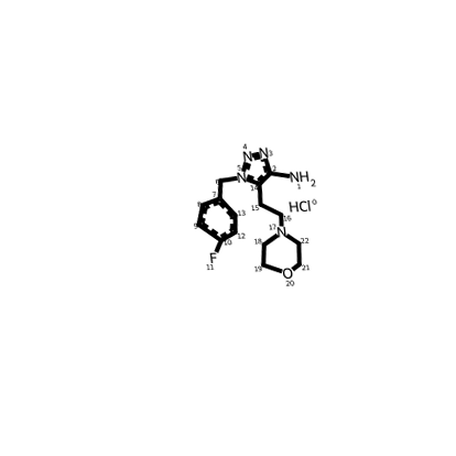 Cl.Nc1nnn(Cc2ccc(F)cc2)c1CCN1CCOCC1